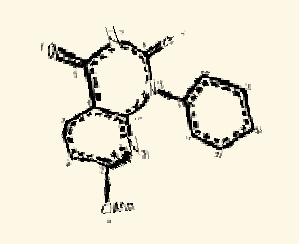 COc1ccc2c(=O)[nH]c(=O)n(-c3ccccc3)c2n1